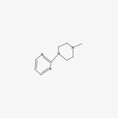 [CH2]N1CCN(c2ncccn2)CC1